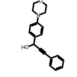 OC(C#Cc1ccccc1)c1ccc(N2CCOCC2)cc1